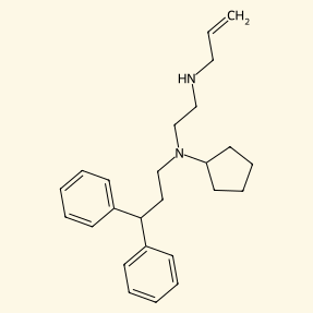 C=CCNCCN(CCC(c1ccccc1)c1ccccc1)C1CCCC1